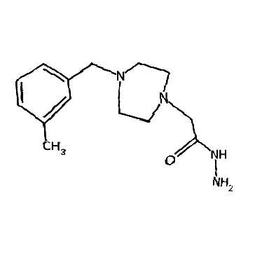 Cc1cccc(CN2CCN(CC(=O)NN)CC2)c1